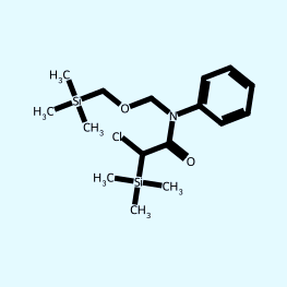 C[Si](C)(C)COCN(C(=O)C(Cl)[Si](C)(C)C)c1ccccc1